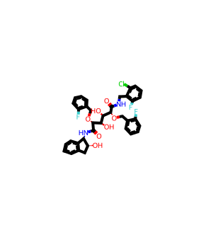 O=C(NCc1c(F)cccc1Cl)[C@H](OCc1ccccc1F)[C@H](O)[C@@H](O)[C@@H](OCc1ccccc1F)C(=O)N[C@H]1c2ccccc2C[C@H]1O